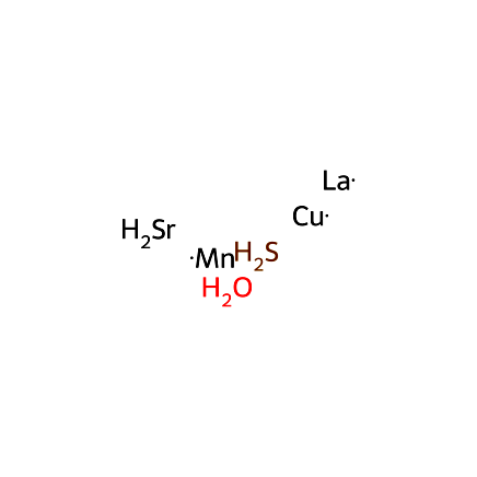 O.S.[Cu].[La].[Mn].[SrH2]